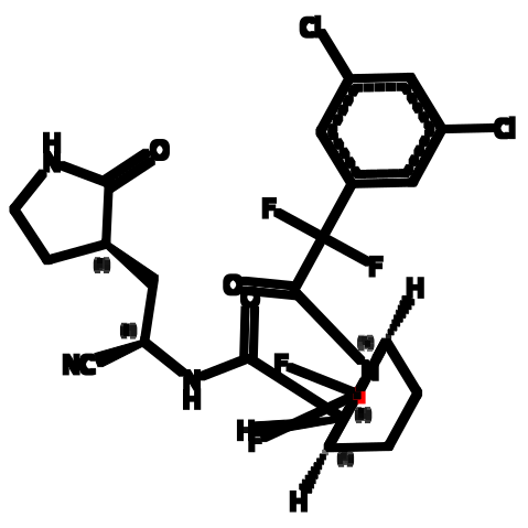 N#C[C@@H](C[C@H]1CCNC1=O)NC(=O)[C@H]1[C@@H]2CC[C@@H](CC2(F)F)N1C(=O)C(F)(F)c1cc(Cl)cc(Cl)c1